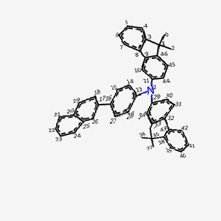 CC1(C)c2ccccc2-c2cc(N(c3ccc(-c4ccc5ccccc5c4)cc3)c3ccc4c(c3)C(C)(C)c3ccccc3-4)ccc21